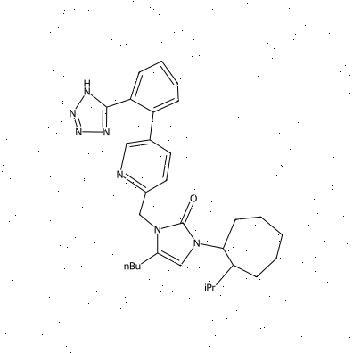 CCCCc1cn(C2CCCCCC2C(C)C)c(=O)n1Cc1ccc(-c2ccccc2-c2nnn[nH]2)cn1